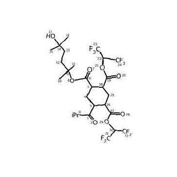 CC(C)C(=O)C1CC(C(=O)OC(C)(C)CCC(C)(C)O)C(C(=O)OC(C(F)(F)F)C(F)(F)F)CC1C(=O)OC(C(F)(F)F)C(F)(F)F